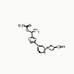 COC1CN(c2cc(-c3noc(C(C)OC(N)=O)n3)ccn2)C1